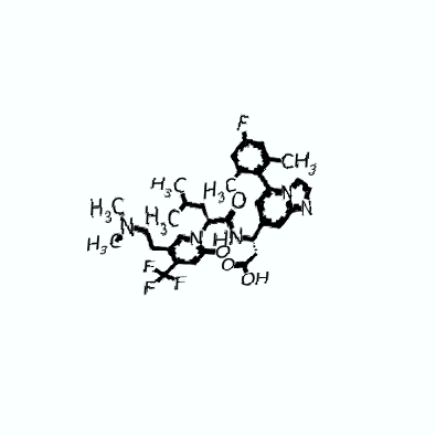 Cc1cc(F)cc(C)c1-c1cc([C@H](CC(=O)O)NC(=O)[C@H](CC(C)C)n2cc(CCN(C)C)c(C(F)(F)F)cc2=O)cc2nccn12